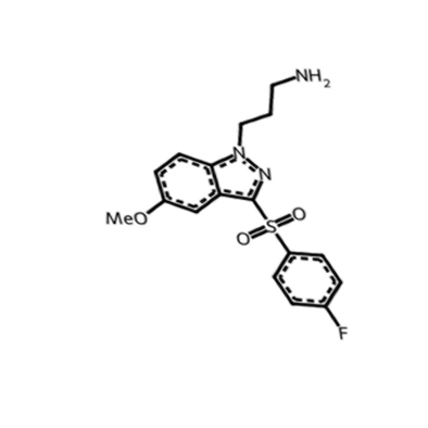 COc1ccc2c(c1)c(S(=O)(=O)c1ccc(F)cc1)nn2CCCN